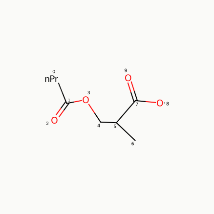 CCCC(=O)OCC(C)C([O])=O